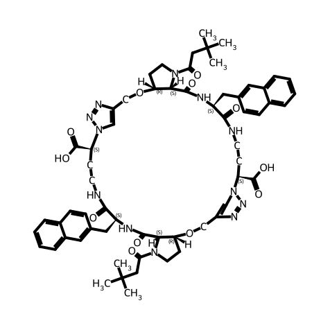 CC(C)(C)CC(=O)N1CC[C@H]2OCc3cn(nn3)[C@H](C(=O)O)CCNC(=O)[C@H](Cc3ccc4ccccc4c3)NC(=O)[C@@H]3[C@@H](CCN3C(=O)CC(C)(C)C)OCc3cn(nn3)[C@H](C(=O)O)CCNC(=O)[C@H](Cc3ccc4ccccc4c3)NC(=O)[C@H]21